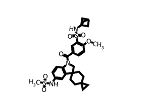 COc1ccc(C(=O)N2CC3(CCC4(CC4)CC3)c3cc(NS(C)(=O)=O)ccc32)cc1S(=O)(=O)NC12CC(C1)C2